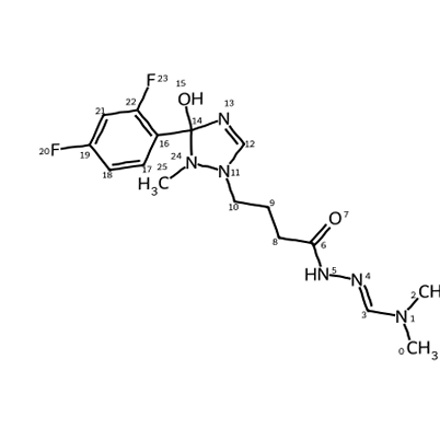 CN(C)C=NNC(=O)CCCN1C=NC(O)(c2ccc(F)cc2F)N1C